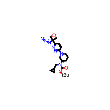 CC(C)(C)OC(=O)N(CC1CC1)[C@@H]1CCCN(c2ccc(C3(N=[N+]=[N-])COC3)nn2)C1